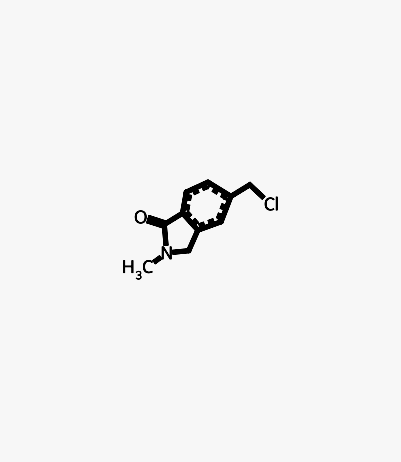 CN1Cc2cc(CCl)ccc2C1=O